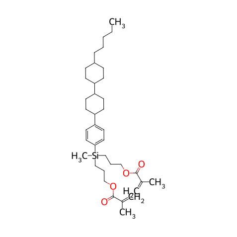 C=C(C)C(=O)OCCC[Si](C)(CCCOC(=O)C(=C)C)c1ccc(C2CCC(C3CCC(CCCCC)CC3)CC2)cc1